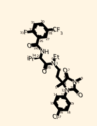 CCN(CCC1(C)C(=O)N(C)C(=O)N1c1ccc(Cl)cc1)C(=O)[C@H](NC(=O)c1cc(C(F)(F)F)ccc1F)C(C)C